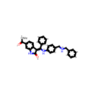 COC(=O)c1ccc2c(c1)NC(=O)/C2=C(\Nc1ccc(CNCc2ccccc2)cc1)c1ccccc1